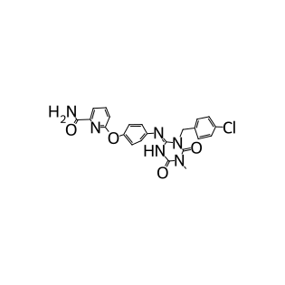 Cn1c(=O)[nH]/c(=N\c2ccc(Oc3cccc(C(N)=O)n3)cc2)n(Cc2ccc(Cl)cc2)c1=O